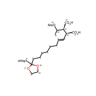 CCCCCCCC1(CCCCCCC=C[C@H](C(=O)O)[C@H](C(=O)O)C(C)OC)OCCO1